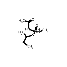 CCC(C)SP(=O)(NC)NC(C)=O